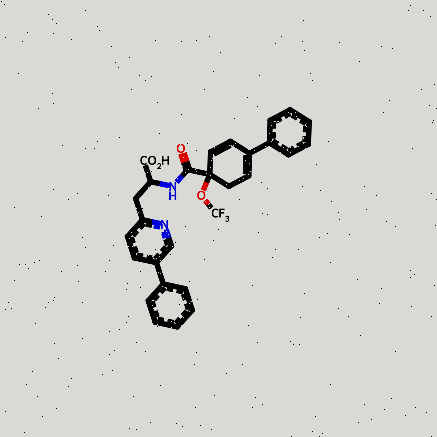 O=C(O)C(Cc1ccc(-c2ccccc2)cn1)NC(=O)C1(OC(F)(F)F)C=CC(c2ccccc2)=CC1